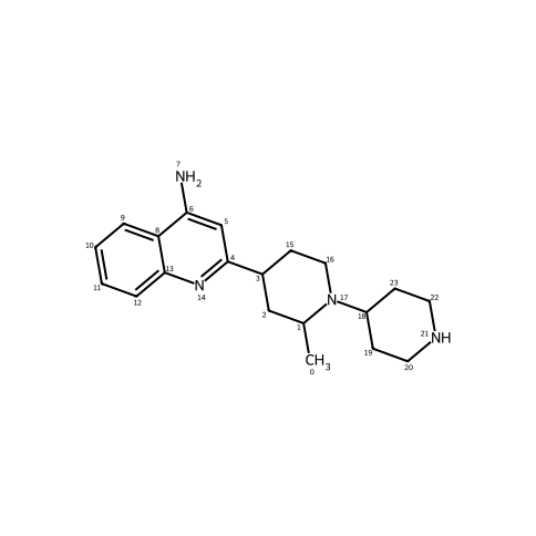 CC1CC(c2cc(N)c3ccccc3n2)CCN1C1CCNCC1